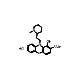 CSc1ccc2c(c1O)N(CCC1CCCCN1C)c1ccccc1S2.Cl